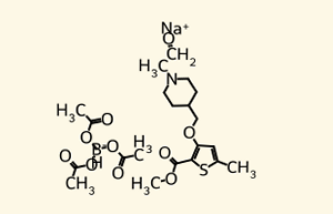 C=O.CC(=O)O[BH-](OC(C)=O)OC(C)=O.COC(=O)c1sc(C)cc1OCC1CCN(C)CC1.[Na+]